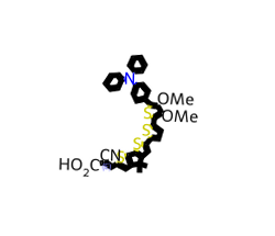 COc1c(-c2ccc(N(c3ccccc3)c3ccccc3)cc2)sc(-c2ccc(-c3cc4c(s3)-c3sc(/C=C(\C#N)C(=O)O)cc3C4(C)C)s2)c1OC